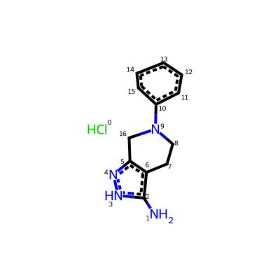 Cl.Nc1[nH]nc2c1CCN(c1ccccc1)C2